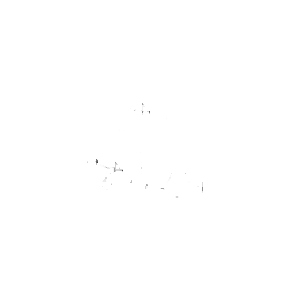 O=C1OCC(COc2ccc(F)cc2)N1CCC1CCNCC1